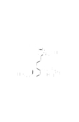 CC[n+]1nc(C)sc1C=Cc1cc(OC)ccc1OC.F[B-](F)(F)F